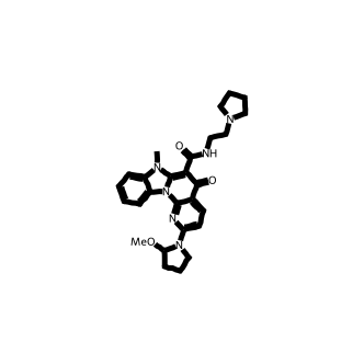 COC1CCCN1c1ccc2c(=O)c(C(=O)NCCN3CCCC3)c3n(C)c4ccccc4n3c2n1